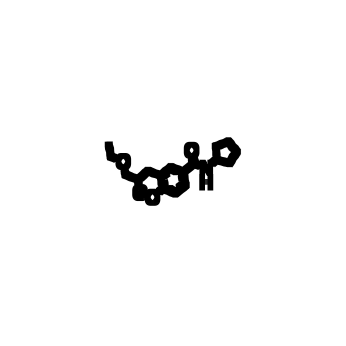 CCOCC1Cc2cc(C(=O)NC3CCCC3)ccc2OO1